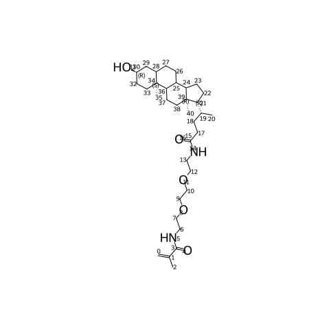 C=C(C)C(=O)NCCOCCOCCNC(=O)CCC(C)[C@H]1CCC2C3CCC4C[C@H](O)CC[C@]4(C)C3CC[C@@]21C